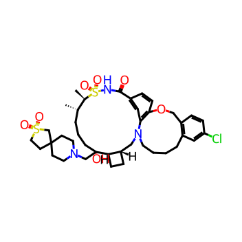 C[C@@H]1[C@@H](C)CCC[C@@](O)(CN2CCC3(CC2)CCS(=O)(=O)C3)[C@@H]2CC[C@H]2CN2CCCCc3cc(Cl)ccc3COc3ccc(cc32)C(=O)NS1(=O)=O